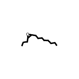 CCCCCCCCC1OC1CCC